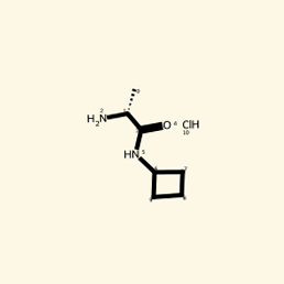 C[C@@H](N)C(=O)NC1CCC1.Cl